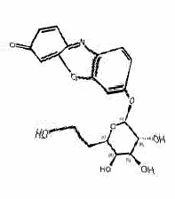 O=c1ccc2nc3ccc(O[C@@H]4O[C@H](CCO)[C@H](O)[C@H](O)[C@H]4O)cc3oc-2c1